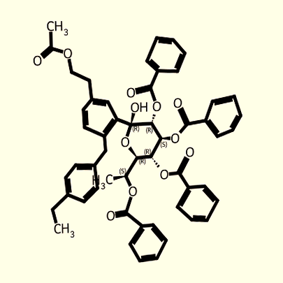 CCc1ccc(Cc2ccc(CCOC(C)=O)cc2[C@@]2(O)O[C@H]([C@H](C)OC(=O)c3ccccc3)[C@@H](OC(=O)c3ccccc3)[C@H](OC(=O)c3ccccc3)[C@H]2OC(=O)c2ccccc2)cc1